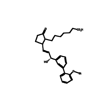 CCOc1ccccc1-c1cccc([C@H](O)/C=C/C2CCC(=O)N2CCCCCCC(=O)O)c1